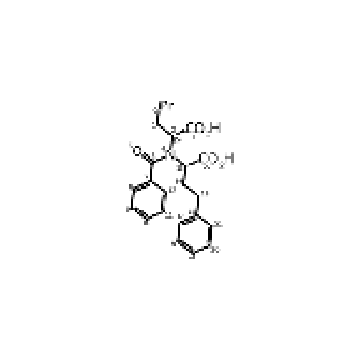 CC(C)C[C@@H](C(=O)O)N(C(=O)c1ccccc1)C(CCc1ccccc1)C(=O)O